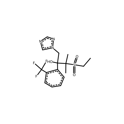 CCS(=O)(=O)C(C)(C)C(O)(Cn1cncn1)c1ccccc1C(F)(F)F